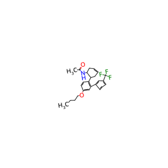 CCCCOc1ccc(C2CC=CCC2NC(C)=O)c(-c2cccc(C(F)(F)F)c2)c1